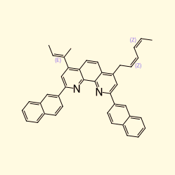 C/C=C\C=C/Cc1cc(-c2ccc3ccccc3c2)nc2c1ccc1c(/C(C)=C/C)cc(-c3ccc4ccccc4c3)nc12